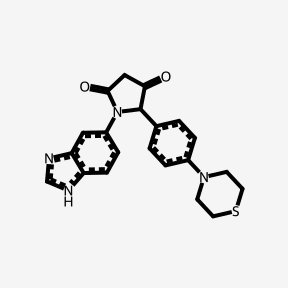 O=C1CC(=O)N(c2ccc3[nH]cnc3c2)C1c1ccc(N2CCSCC2)cc1